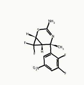 C[C@]1(c2cc([N+](=O)[O-])cc(F)c2F)N=C(N)S[C@@H]2[C@H]1C2(F)F